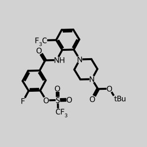 CC(C)(C)OC(=O)N1CCN(c2cccc(C(F)(F)F)c2NC(=O)c2ccc(F)c(OS(=O)(=O)C(F)(F)F)c2)CC1